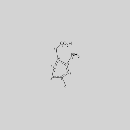 Cc1ccc(CC(=O)O)c(N)c1